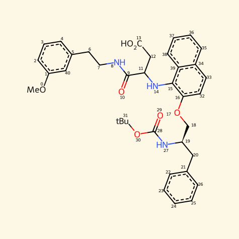 COc1cccc(CCNC(=O)C(CC(=O)O)Nc2c(OC[C@@H](Cc3ccccc3)NC(=O)OC(C)(C)C)ccc3ccccc23)c1